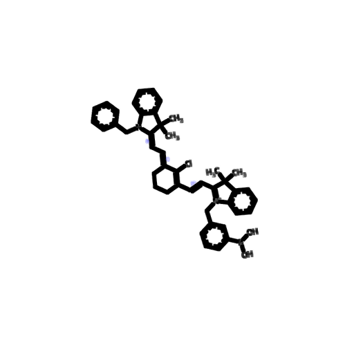 CC1(C)C(/C=C/C2=C(Cl)C(=C/C=C3/N(Cc4ccccc4)c4ccccc4C3(C)C)/CCC2)=[N+](Cc2cccc(B(O)O)c2)c2ccccc21